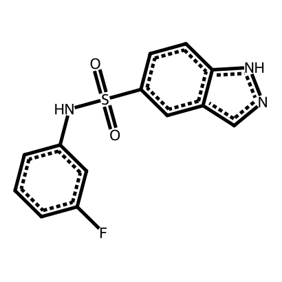 O=S(=O)(Nc1cccc(F)c1)c1ccc2[nH]ncc2c1